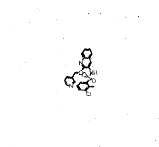 Cc1c(Cl)cccc1S(=O)(=O)Nc1cc2ccccc2nc1OCc1cccnc1